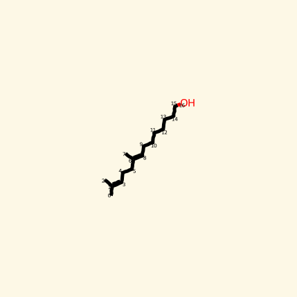 CC(C)=CCC/C(C)=C/CCCCCCCO